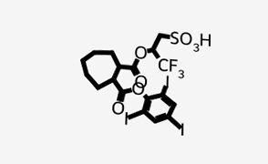 O=C(Oc1c(I)cc(I)cc1I)C1CCCCCC1C(=O)OC(CS(=O)(=O)O)C(F)(F)F